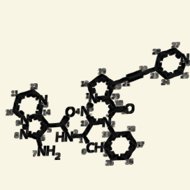 C[C@@H](NC(=O)c1c(N)nn2cccnc12)c1nn2ccc(C#Cc3ccncc3)c2c(=O)n1-c1ccccc1